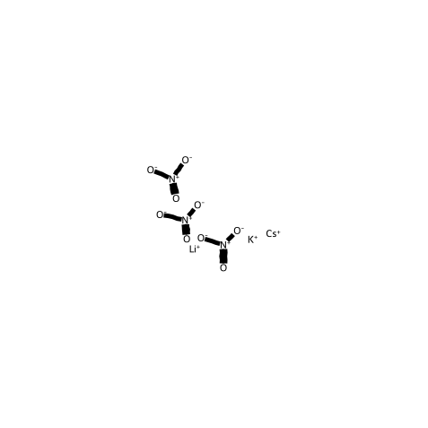 O=[N+]([O-])[O-].O=[N+]([O-])[O-].O=[N+]([O-])[O-].[Cs+].[K+].[Li+]